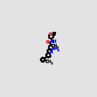 Cc1ccccc1-c1ccc2nc(N)c(C[C@@H](C)C(=O)NC3CCOC4(CCC4)C3)cc2c1